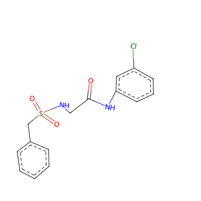 O=C(CNS(=O)(=O)Cc1ccccc1)Nc1cccc(Cl)c1